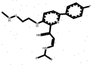 CNSCCNc1ccc(-c2ccc(F)cc2)nc1C(=N)/C=C\NC(F)F